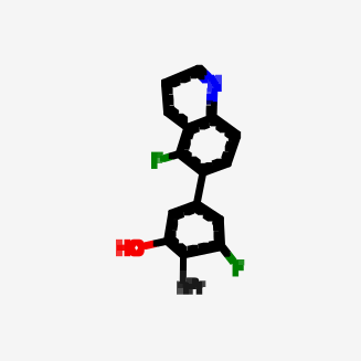 CCCc1c(O)cc(-c2ccc3ncccc3c2F)cc1F